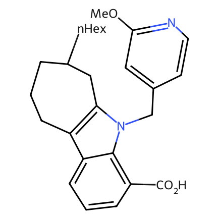 CCCCCCC1CCCc2c(n(Cc3ccnc(OC)c3)c3c(C(=O)O)cccc23)C1